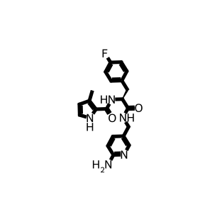 Cc1cc[nH]c1C(=O)N[C@@H](Cc1ccc(F)cc1)C(=O)NCc1ccc(N)nc1